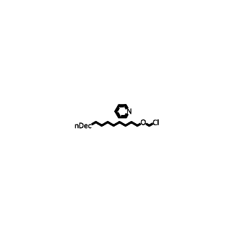 CCCCCCCCCCCCCCCCCCOCCl.c1ccncc1